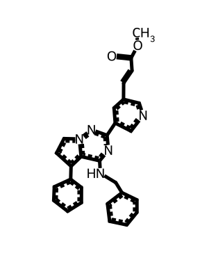 COC(=O)/C=C/c1cncc(-c2nc(NCc3ccccc3)c3c(-c4ccccc4)ccn3n2)c1